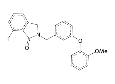 COc1ccccc1Oc1cccc(CN2Cc3cccc(I)c3C2=O)c1